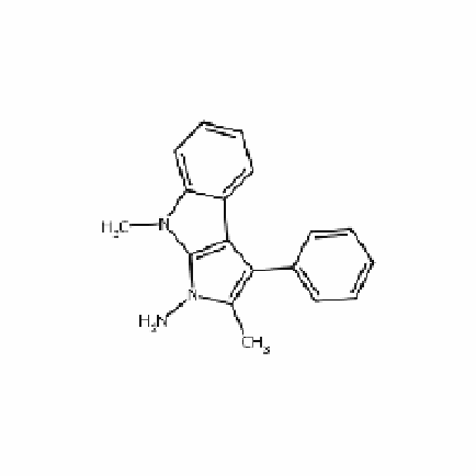 Cc1c(-c2ccccc2)c2c3ccccc3n(C)c2n1N